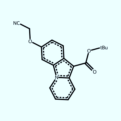 CC(C)(C)OC(=O)c1c2ccc(OCC#N)cc2n2ccccc12